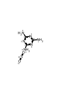 Nc1nc(N)nc(N)n1.[O]=[Ti]=[O]